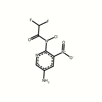 Nc1cnc(N(Cl)C(=O)C(F)F)c([N+](=O)[O-])c1